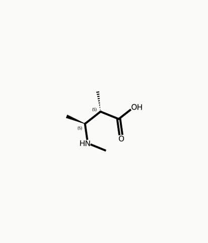 CN[C@@H](C)[C@H](C)C(=O)O